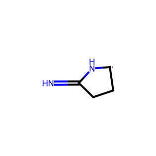 N=C1CC[CH]N1